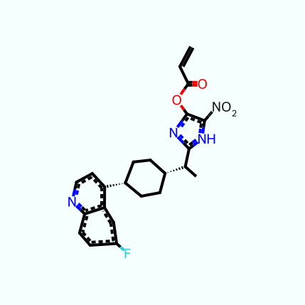 C=CC(=O)Oc1nc(C(C)[C@H]2CC[C@@H](c3ccnc4ccc(F)cc43)CC2)[nH]c1[N+](=O)[O-]